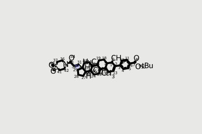 CC1C(c2ccc(C(=O)OC(C)(C)C)cc2)=CC[C@@]2(C)C1CC[C@]1(C)C2CC[C@@H]2[C@H]3CCC[C@]3(/C=C/C(=O)N3CCS(=O)(=O)CC3)CC[C@]21C